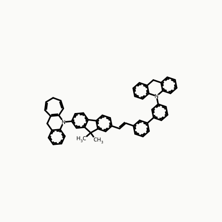 CC1(C)c2cc(/C=C/c3cccc(-c4cccc(N5c6ccccc6Cc6ccccc65)c4)c3)ccc2-c2ccc(N3C4=C(C=CCC=C4)Cc4ccccc43)cc21